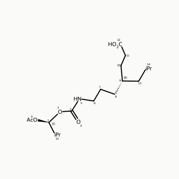 CC(=O)O[C@@H](OC(=O)NCCC[C@H](CCC(=O)O)CC(C)C)C(C)C